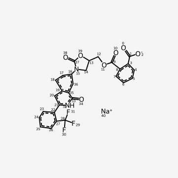 O=C([O-])c1ccccc1C(=O)OCC1CN(c2ccc3cc(-c4ccccc4C(F)(F)F)[nH]c(=O)c3c2)C(=O)O1.[Na+]